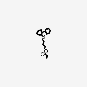 C=CC(=O)OCCCCCOc1ccccc1-c1ccccc1